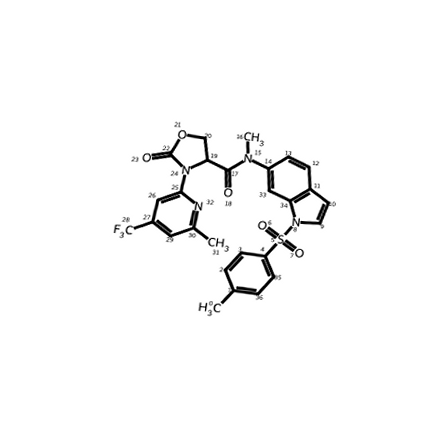 Cc1ccc(S(=O)(=O)n2ccc3ccc(N(C)C(=O)C4COC(=O)N4c4cc(C(F)(F)F)cc(C)n4)cc32)cc1